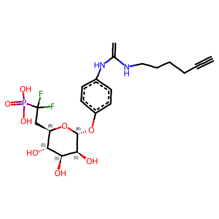 C#CCCCCNC(=C)Nc1ccc(O[C@H]2O[C@H](CC(F)(F)P(=O)(O)O)[C@@H](O)[C@H](O)[C@@H]2O)cc1